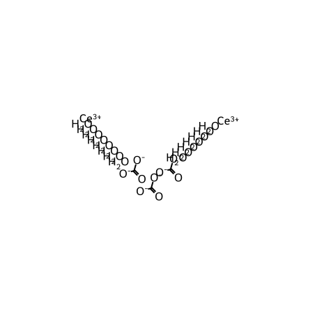 O.O.O.O.O.O.O.O.O.O.O.O.O.O.O.O=C([O-])[O-].O=C([O-])[O-].O=C([O-])[O-].[Ce+3].[Ce+3]